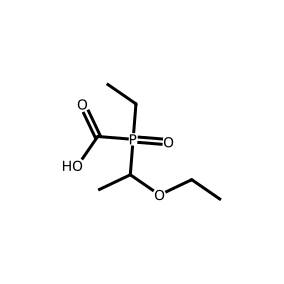 CCOC(C)P(=O)(CC)C(=O)O